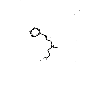 CN(CC=Cc1ccccc1)CCCl